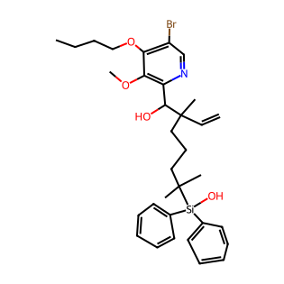 C=CC(C)(CCCC(C)(C)[Si](O)(c1ccccc1)c1ccccc1)C(O)c1ncc(Br)c(OCCCC)c1OC